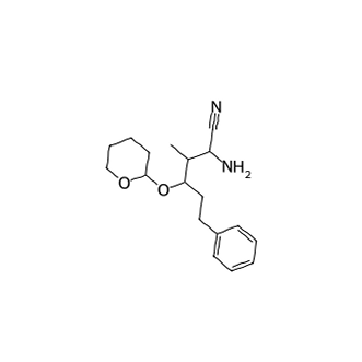 CC(C(N)C#N)C(CCc1ccccc1)OC1CCCCO1